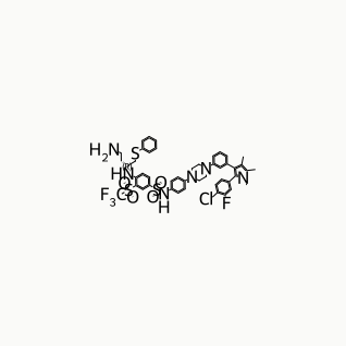 Cc1c(-c2cccc(N3CCN(c4ccc(NS(=O)(=O)c5ccc(N[C@H](CCN)CSc6ccccc6)c(S(=O)(=O)C(F)(F)F)c5)cc4)CC3)c2)c(-c2ccc(Cl)c(F)c2)n(C)c1C